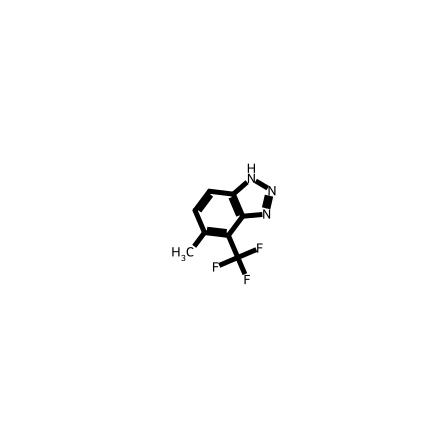 Cc1ccc2[nH]nnc2c1C(F)(F)F